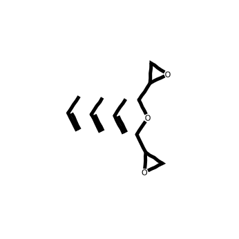 C(OCC1CO1)C1CO1.C=CC.C=CC.C=CC